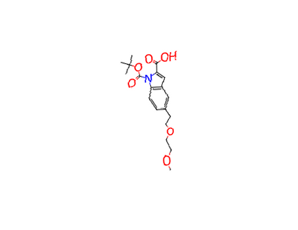 COCCOCCc1ccc2c(c1)cc(C(=O)O)n2C(=O)OC(C)(C)C